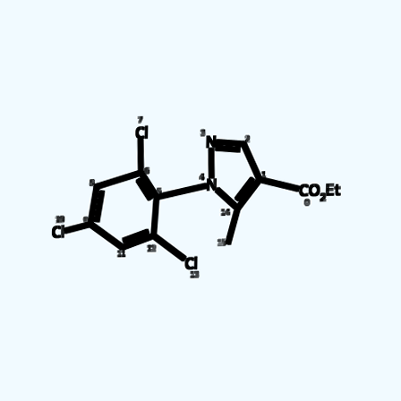 CCOC(=O)c1cnn(-c2c(Cl)cc(Cl)cc2Cl)c1C